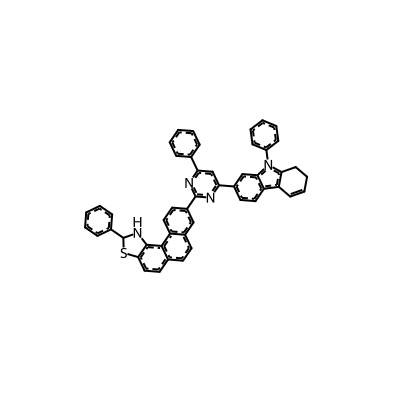 C1=Cc2c(n(-c3ccccc3)c3cc(-c4cc(-c5ccccc5)nc(-c5ccc6c(ccc7ccc8c(c76)NC(c6ccccc6)S8)c5)n4)ccc23)CC1